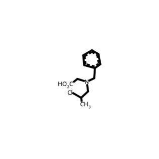 CC(Cl)CN(CC(=O)O)Cc1ccccc1